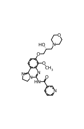 COc1c(OC[C@H](O)CN2CCOCC2)ccc2c1N=C(NC(=O)c1cccnc1)N1CCN=C21